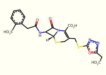 O=C(O)Cc1nnc(SCC2=C(C(=O)O)N3C(=O)C(NC(=O)Cc4ccccc4S(=O)(=O)O)[C@H]3SC2)o1